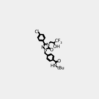 CC(C)(C)NC(=O)c1ccc(Cn2nc(-c3ccc(Cl)cc3)n(CC(O)C(F)(F)F)c2=O)cc1